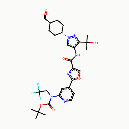 CC(C)(C)OC(=O)N(CC(F)(F)F)c1cc(-c2nc(C(=O)Nc3cn([C@H]4CC[C@H](C=O)CC4)nc3C(C)(C)O)co2)ccn1